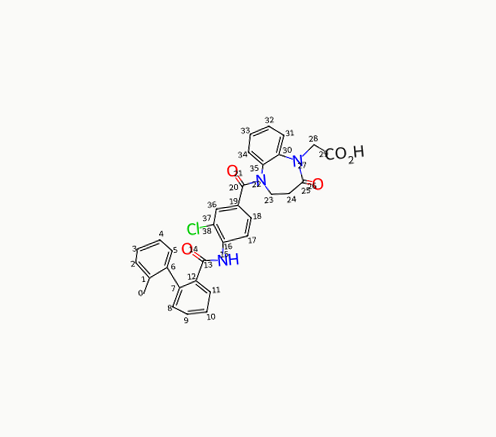 Cc1ccccc1-c1ccccc1C(=O)Nc1ccc(C(=O)N2CCC(=O)N(CC(=O)O)c3ccccc32)cc1Cl